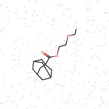 CCOCCOC(=O)C12CC3CC(CC(C3)C1)C2